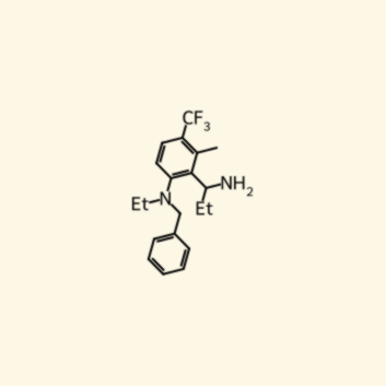 CCC(N)c1c(N(CC)Cc2ccccc2)ccc(C(F)(F)F)c1C